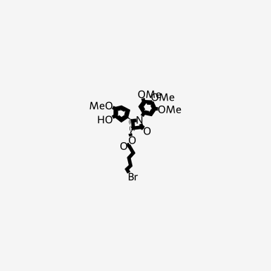 COc1ccc([C@H]2[C@@H](COC(=O)CCCCBr)C(=O)N2c2cc(OC)c(OC)c(OC)c2)cc1O